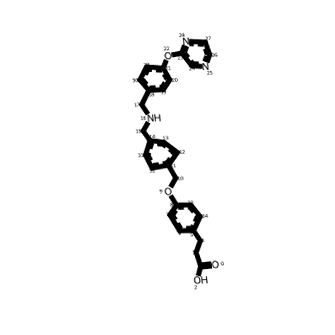 O=C(O)CCc1ccc(OCc2ccc(CNCc3ccc(Oc4cnccn4)cc3)cc2)cc1